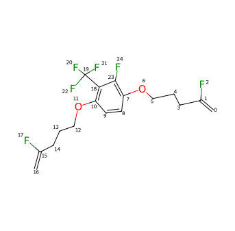 C=C(F)CCCOc1ccc(OCCCC(=C)F)c(C(F)(F)F)c1F